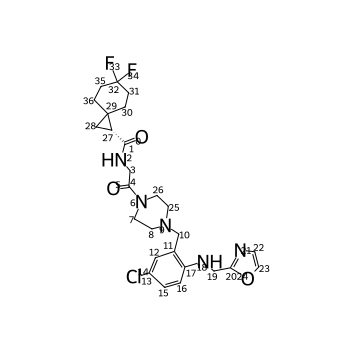 O=C(NCC(=O)N1CCN(Cc2cc(Cl)ccc2NCc2ncco2)CC1)[C@@H]1CC12CCC(F)(F)CC2